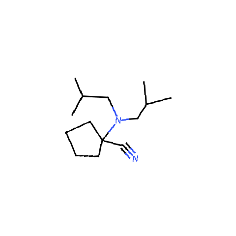 CC(C)CN(CC(C)C)C1(C#N)CCCC1